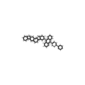 C1=C(c2ccccc2)CCC(c2c3ccccc3c(-c3ccc4sc5c6cc7sc8ccccc8c7cc6ccc5c4c3)c3ccccc23)=C1